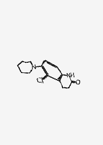 O=C1CCc2c(ccc(N3CCCCC3)c2Cl)N1